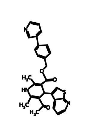 CC(=O)C1=C(C)NC(C)=C(C(=O)OCc2ccc(-c3cccnc3)cc2)C1c1csc2ncccc12